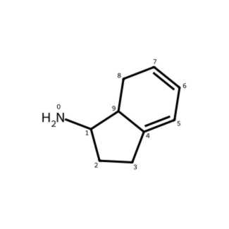 NC1CCC2=CC=CCC21